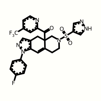 O=C(c1cc(C(F)(F)F)ccn1)C12Cc3cnn(-c4ccc(F)cc4)c3C=C1CCN(S(=O)(=O)c1cn[nH]c1)C2